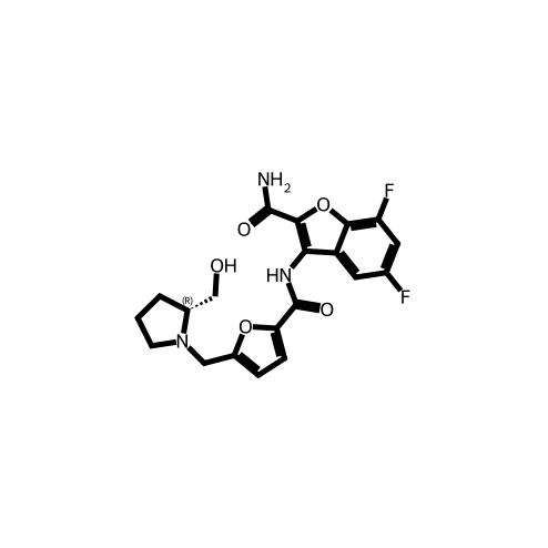 NC(=O)c1oc2c(F)cc(F)cc2c1NC(=O)c1ccc(CN2CCC[C@@H]2CO)o1